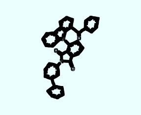 O=C(c1ccccc1)c1cccc2c3ccccc3n(-c3cccc4c3C(=O)N(c3cccc(-c5ccccc5)c3)C4=O)c12